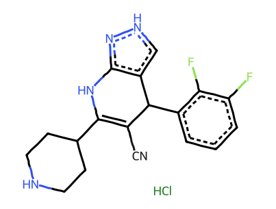 Cl.N#CC1=C(C2CCNCC2)Nc2n[nH]cc2C1c1cccc(F)c1F